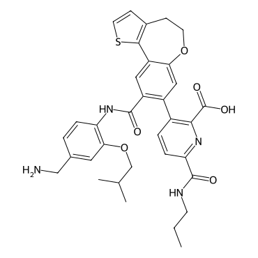 CCCNC(=O)c1ccc(-c2cc3c(cc2C(=O)Nc2ccc(CN)cc2OCC(C)C)-c2sccc2CCO3)c(C(=O)O)n1